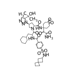 CC(C)(O)c1cnnn1[C@H]1C[C@@H](C(=O)NC2(C(=O)C(N)=O)CCS(=O)(=O)CC2)N(C(=O)C(CC2CCCCC2)NC(=O)c2ccc(S(=O)(=O)NC3CC4(CCC4)C3)cc2)C1